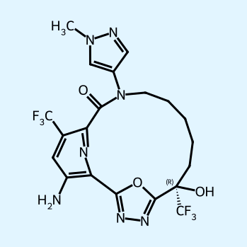 Cn1cc(N2CCCCC[C@](O)(C(F)(F)F)c3nnc(o3)-c3nc(c(C(F)(F)F)cc3N)C2=O)cn1